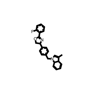 CC1=CN(Cc2ccc(C3COC(c4ccccc4F)=N3)cc2)C2C=CC=CC12